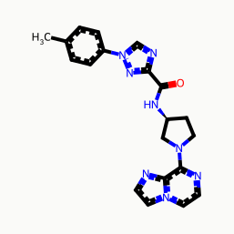 Cc1ccc(-n2cnc(C(=O)N[C@H]3CCN(c4nccn5ccnc45)C3)n2)cc1